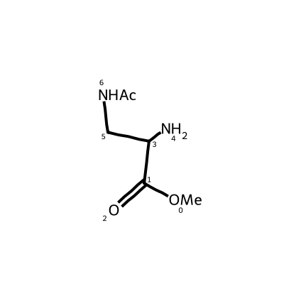 COC(=O)C(N)CNC(C)=O